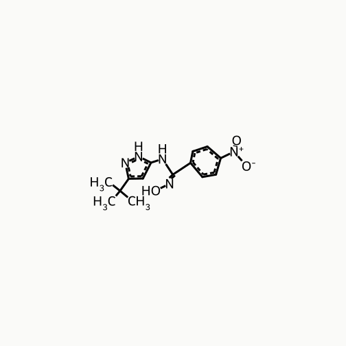 CC(C)(C)c1cc(NC(=NO)c2ccc([N+](=O)[O-])cc2)[nH]n1